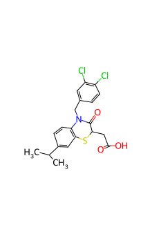 CC(C)c1ccc2c(c1)SC(CC(=O)O)C(=O)N2Cc1ccc(Cl)c(Cl)c1